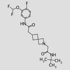 CC(C)(C)NC(=O)CN1CC2(CC(CC(=O)Nc3ccc(F)c(OC(F)F)c3)C2)C1